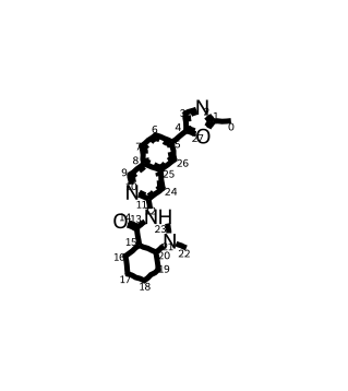 Cc1ncc(-c2ccc3cnc(NC(=O)C4CCCCC4N(C)C)cc3c2)o1